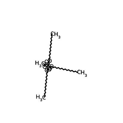 CCCCCCCCCCCCCCCCOC(=O)CC(CC(=O)OCCCCCCCCCCCCCCCC)(OC(C)=O)C(=O)OCCCCCCCCCCCCCCCC